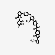 C[C@@H]1CN(CC2CCN(c3cccc4c3CN(C3CCC(=O)NC3=O)C4=O)CC2)CCN1c1ccc(C(=O)Nc2cc3[nH]c([C@H]4CCCN4C)cc3cn2)cn1